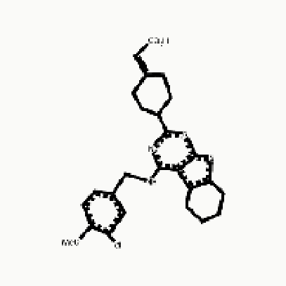 COc1ccc(CNc2nc(C3CCC(=CC(=O)O)CC3)nc3sc4c(c23)CCCC4)cc1Cl